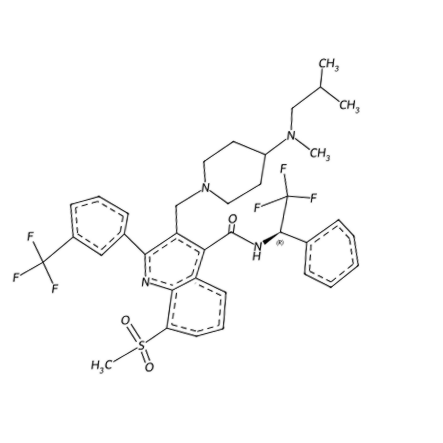 CC(C)CN(C)C1CCN(Cc2c(-c3cccc(C(F)(F)F)c3)nc3c(S(C)(=O)=O)cccc3c2C(=O)N[C@H](c2ccccc2)C(F)(F)F)CC1